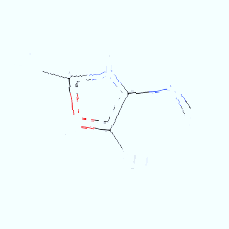 C=Nc1nc(C)oc1C